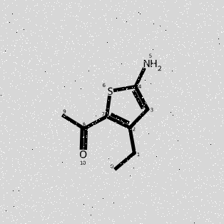 CCc1cc(N)sc1C(C)=O